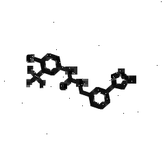 O=C(NCc1cccc(-c2cn[nH]c2)c1)Nc1ccc(Cl)c(C(F)(F)F)c1